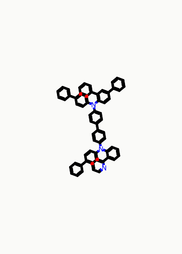 c1ccc(-c2ccc(N(c3ccc(-c4ccc(N(c5ccc(-c6ccccc6)cc5)c5ccccc5-c5ccccn5)cc4)cc3)c3ccc(-c4ccccc4)cc3-c3ccccc3)cc2)cc1